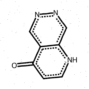 O=c1cc[nH]c2cnncc12